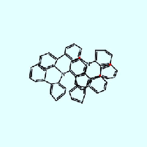 c1ccc(-c2ccccc2N(c2cccc(-c3ccccc3N(c3ccccc3-c3ccccc3)c3cccc4sc5ccccc5c34)c2)c2ccccc2-c2ccccc2)cc1